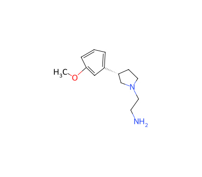 COc1cccc([C@@H]2CCN(CCN)C2)c1